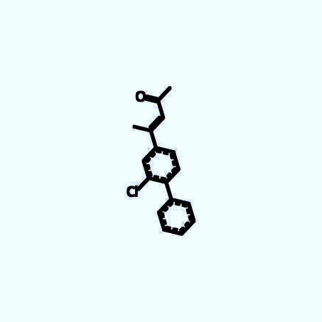 CC(=O)/C=C(\C)c1ccc(-c2ccccc2)c(Cl)c1